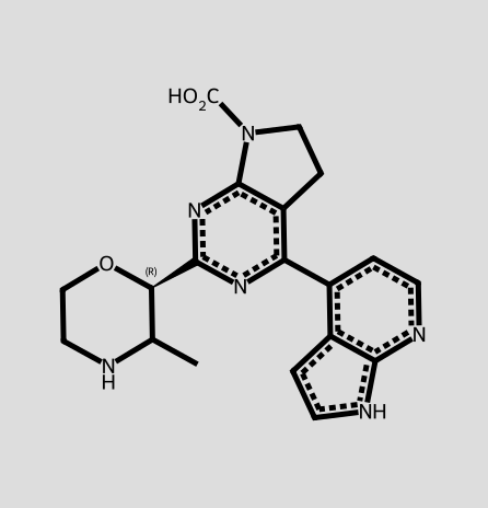 CC1NCCO[C@H]1c1nc(-c2ccnc3[nH]ccc23)c2c(n1)N(C(=O)O)CC2